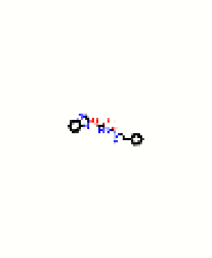 O=C(COc1cnc2ccccc2n1)NC(=O)NCCc1ccccc1